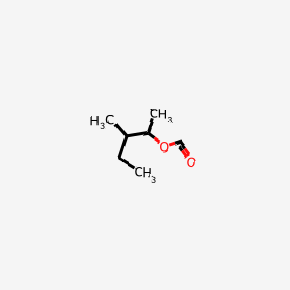 CCC(C)C(C)OC=O